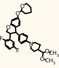 COC(OC)C1CCN(c2ccc(C3c4ccc(OC5CCCCO5)cc4OCC3c3cc(F)ccc3F)cc2)CC1